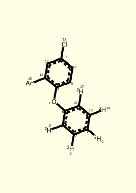 [2H]c1c([2H])c([2H])c(Oc2ccc(Cl)cc2C(C)=O)c([2H])c1[2H]